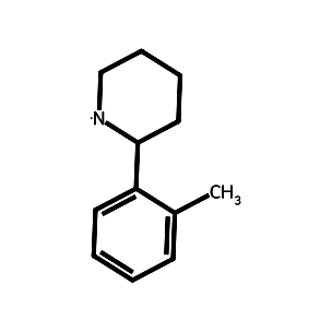 Cc1ccccc1C1CCCC[N]1